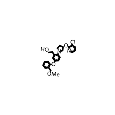 COCc1ccccc1Oc1ccc(N2CC[C@H](Oc3ncccc3Cl)C2)c(CCO)c1